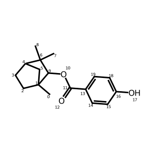 CC12CCC(C1)C(C)(C)C2OC(=O)c1ccc(O)cc1